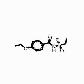 CCOc1ccc(C(=O)NS(=O)(=O)CC)cc1